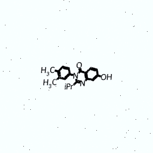 Cc1ccc(-n2c(C(C)C)nc3cc(O)ccc3c2=O)cc1C